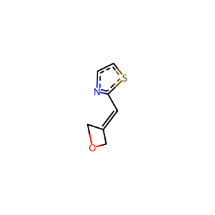 C(=C1COC1)c1nccs1